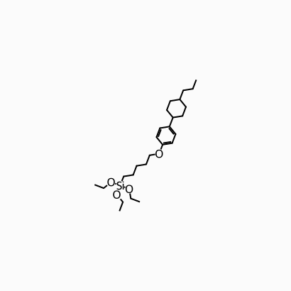 CCCC1CCC(c2ccc(OCCCCC[Si](OCC)(OCC)OCC)cc2)CC1